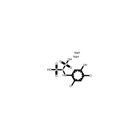 O=S(=O)(O)N(Nc1cc(O)c(Cl)cc1Cl)S(=O)(=O)O.[NaH].[NaH]